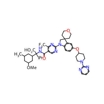 COC1CC(C)CC(C(NC(=O)c2cnc(N3CC4(CCOCC4)c4cc(OC5CCN(c6ncccn6)CC5)ccc43)nc2C(F)(F)F)(C(=O)O)C(C)C)C1